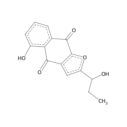 CCC(O)c1cc2c(o1)C(=O)c1cccc(O)c1C2=O